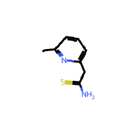 Cc1cccc(CC(N)=S)n1